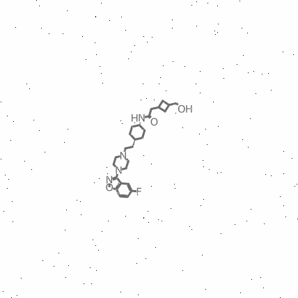 O=C(CC1CC(CO)C1)N[C@H]1CC[C@H](CCN2CCN(c3noc4ccc(F)cc34)CC2)CC1